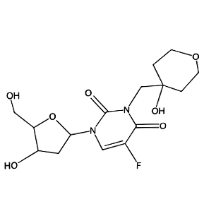 O=c1c(F)cn(C2CC(O)C(CO)O2)c(=O)n1CC1(O)CCOCC1